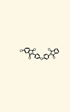 O=C1c2ccccc2C(=O)N1c1ccc(Oc2ccc(N3C(=O)c4ccc(Cl)cc4C3=O)cc2)cc1